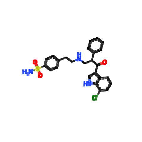 NS(=O)(=O)c1ccc(CCNCC(C(=O)c2c[nH]c3c(Cl)cccc23)c2ccccc2)cc1